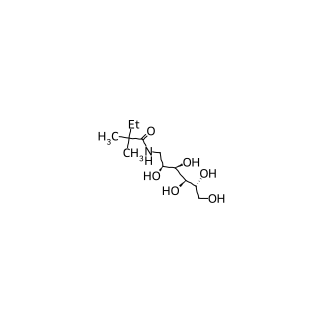 CCC(C)(C)C(=O)NC[C@H](O)[C@@H](O)[C@H](O)[C@H](O)CO